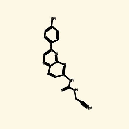 C#CCNC(=S)Nc1ccc2ncc(-c3ccc(O)cc3)nc2n1